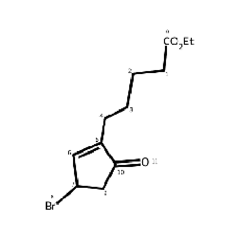 CCOC(=O)CCCCC1=CC(Br)CC1=O